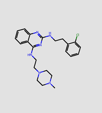 CN1CCN(CCNc2nc(NCCc3ccccc3Cl)nc3ccccc23)CC1